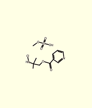 CC(C)(COC(=O)c1cccnc1)NCl.COS(=O)(=O)O